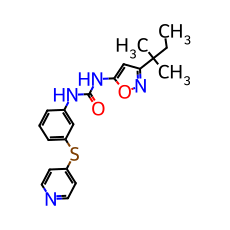 CCC(C)(C)c1cc(NC(=O)Nc2cccc(Sc3ccncc3)c2)on1